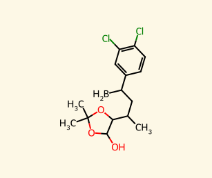 BC(CC(C)C1OC(C)(C)OC1O)c1ccc(Cl)c(Cl)c1